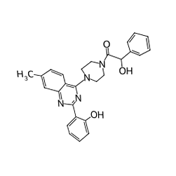 Cc1ccc2c(N3CCN(C(=O)C(O)c4ccccc4)CC3)nc(-c3ccccc3O)nc2c1